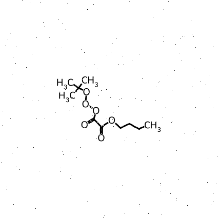 CCCCOC(=O)C(=O)OOOC(C)(C)C